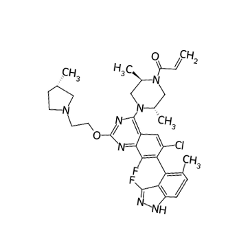 C=CC(=O)N1C[C@H](C)N(c2nc(OCCN3CC[C@H](C)C3)nc3c(F)c(-c4c(C)ccc5[nH]nc(F)c45)c(Cl)cc23)C[C@H]1C